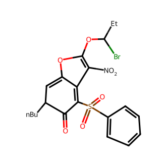 CCCCC1C=c2oc(OC(Br)CC)c([N+](=O)[O-])c2=C(S(=O)(=O)c2ccccc2)C1=O